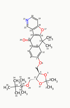 CC1(C)O[C@H](COc2ccc3c(c2)C(C)(C)c2oc4ccncc4c2C3=O)[C@@H](CO[Si](C)(C)C(C)(C)C)O1